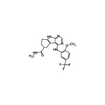 CNC(=O)C1CCc2[nH]c3ncnc(Nc4cc(C(F)(F)F)ccc4OC)c3c2C1